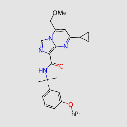 CCCOc1cccc(C(C)(C)NC(=O)c2ncn3c(COC)cc(C4CC4)nc23)c1